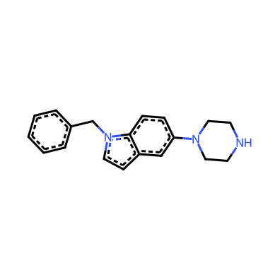 c1ccc(Cn2ccc3cc(N4CCNCC4)ccc32)cc1